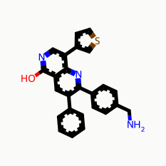 NCc1ccc(-c2nc3c(-c4ccsc4)cnc(O)c3cc2-c2ccccc2)cc1